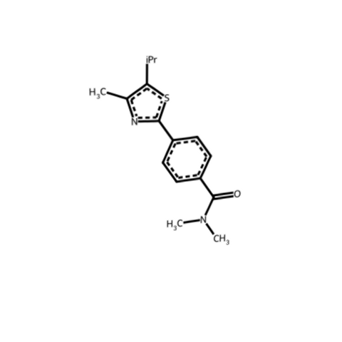 Cc1nc(-c2ccc(C(=O)N(C)C)cc2)sc1C(C)C